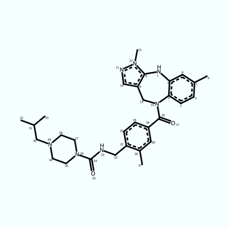 Cc1ccc2c(c1)Nc1c(cnn1C)CN2C(=O)c1ccc(CNC(=O)N2CCN(CC(C)C)CC2)c(C)c1